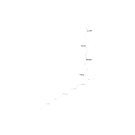 [CH2]C(CCCCCCOCCOCC)C(=O)CCC(=O)CCC(=O)CCC(=O)CC